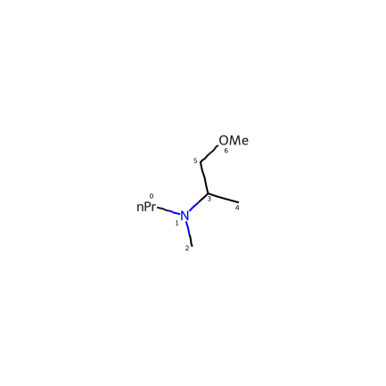 CCCN(C)C(C)COC